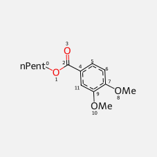 [CH2]CCCCOC(=O)c1ccc(OC)c(OC)c1